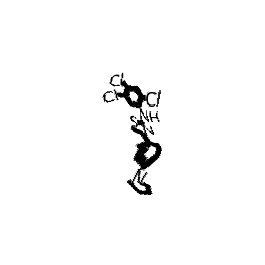 Clc1cc(Cl)c(Nc2nc(-c3ccc(N4CCCC4)cc3)cs2)cc1Cl